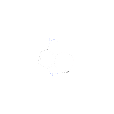 Nc1ccc2[nH]c3cc2c1OCO3